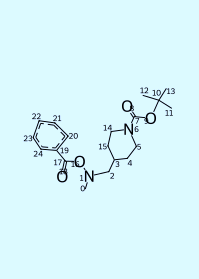 CN(CC1CCN(C(=O)OC(C)(C)C)CC1)OC(=O)c1ccccc1